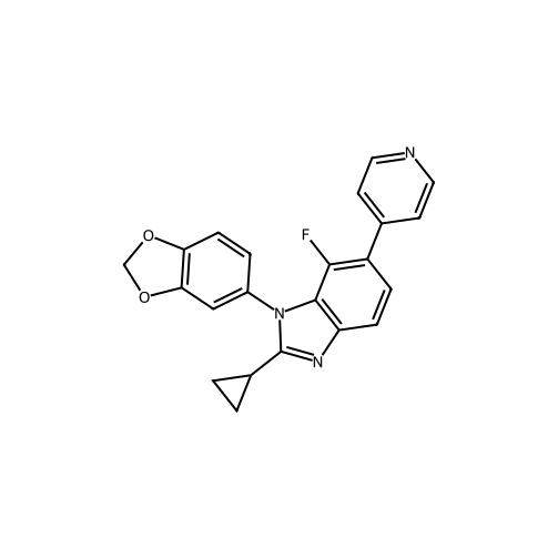 Fc1c(-c2ccncc2)ccc2nc(C3CC3)n(-c3ccc4c(c3)OCO4)c12